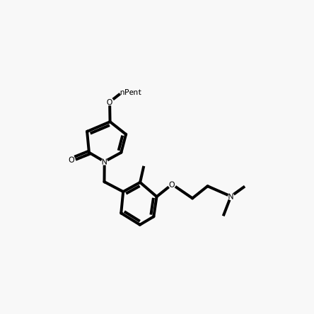 CCCCCOc1ccn(Cc2cccc(OCCN(C)C)c2C)c(=O)c1